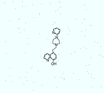 Oc1ccc(CCN2CCN(c3ccccn3)CC2)c2cccnc12